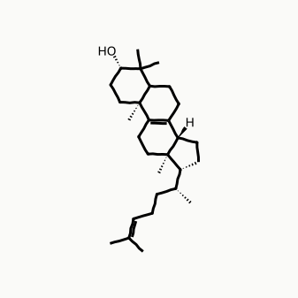 CC(C)=CCC[C@@H](C)[C@H]1CC[C@H]2C3=C(CC[C@]12C)[C@@]1(C)CC[C@H](O)C(C)(C)C1CC3